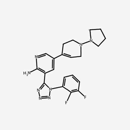 Nc1ncc(C2=CCN(N3[CH]CCC3)CC2)cc1-c1nnnn1-c1cccc(F)c1F